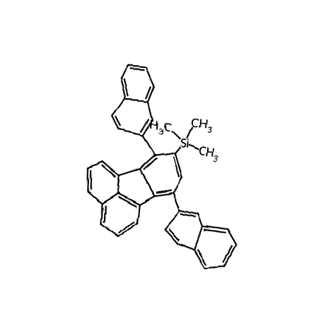 C[Si](C)(C)c1cc(-c2ccc3ccccc3c2)c2c(c1-c1ccc3ccccc3c1)-c1cccc3cccc-2c13